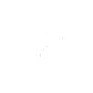 CC(O)Oc1ccccc1.O.O.O